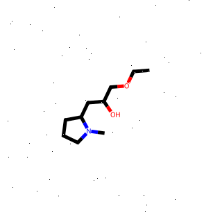 CCOCC(O)CC1CCCN1C